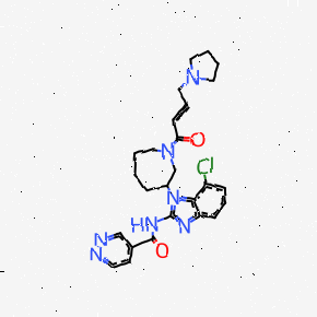 O=C(Nc1nc2cccc(Cl)c2n1C1CCCCN(C(=O)C=CCN2CCCC2)C1)c1ccnnc1